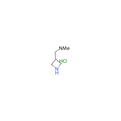 CNCC1CNC1.Cl